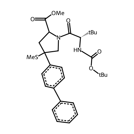 COC(=O)C1CC(SC)(c2ccc(-c3ccccc3)cc2)CN1C(=O)[C@@H](NC(=O)OC(C)(C)C)C(C)(C)C